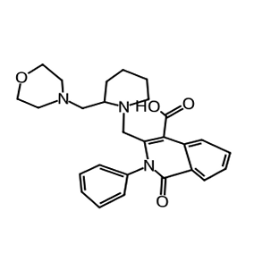 O=C(O)c1c(CN2CCCCC2CN2CCOCC2)n(-c2ccccc2)c(=O)c2ccccc12